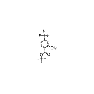 CC(C)(C)OC(=O)c1ccc(C(F)(F)F)cc1O